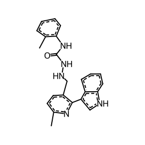 Cc1ccc(CNNC(=O)Nc2ccccc2C)c(-c2c[nH]c3ccccc23)n1